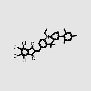 CCN1c2ccc(C=C3C(=O)c4c(Cl)c(Cl)c(Cl)c(Cl)c4C3=O)cc2C(C)(C)c2cc(-c3c(C)cc(C)cc3C)ccc21